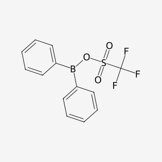 O=S(=O)(OB(c1ccccc1)c1ccccc1)C(F)(F)F